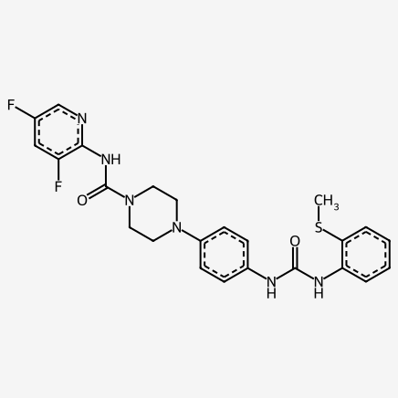 CSc1ccccc1NC(=O)Nc1ccc(N2CCN(C(=O)Nc3ncc(F)cc3F)CC2)cc1